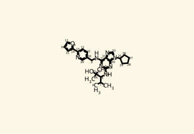 CC(C)C(Nc1nc(NCc2ccc(-c3ccco3)nc2)c2ncn(C3CCCC3)c2n1)C(C)(C)O